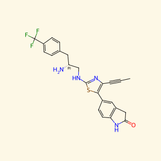 CC#Cc1nc(NC[C@H](N)Cc2ccc(C(F)(F)F)cc2)sc1-c1ccc2c(c1)CC(=O)N2